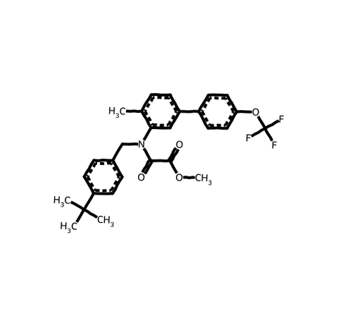 COC(=O)C(=O)N(Cc1ccc(C(C)(C)C)cc1)c1cc(-c2ccc(OC(F)(F)F)cc2)ccc1C